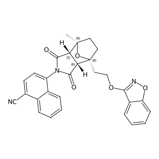 C[C@]12CC[C@](CCOc3noc4ccccc34)(O1)[C@@H]1C(=O)N(c3ccc(C#N)c4ccccc34)C(=O)[C@@H]12